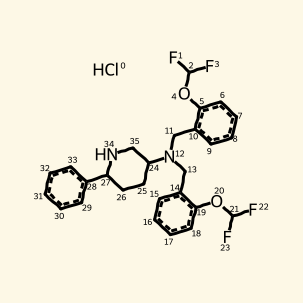 Cl.FC(F)Oc1ccccc1CN(Cc1ccccc1OC(F)F)C1CCC(c2ccccc2)NC1